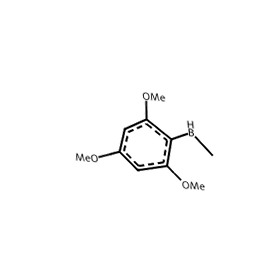 CBc1c(OC)cc(OC)cc1OC